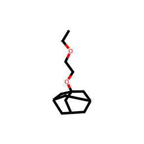 C[CH]OCCOC12CC3CC(CC(C3)C1)C2